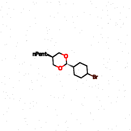 CCCCC[C@H]1CO[C@H](C2CCC(Br)CC2)OC1